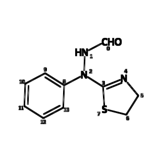 O=CNN(C1=NCCS1)c1ccccc1